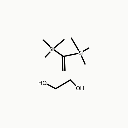 C=C([Si](C)(C)C)[Si](C)(C)C.OCCO